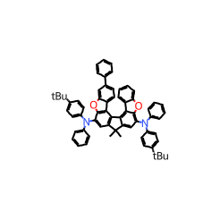 CC(C)(C)c1ccc(N(c2ccccc2)c2cc3c(c4c2oc2ccccc24)-c2c(cc(N(c4ccccc4)c4ccc(C(C)(C)C)cc4)c4oc5cc(-c6ccccc6)ccc5c24)C3(C)C)cc1